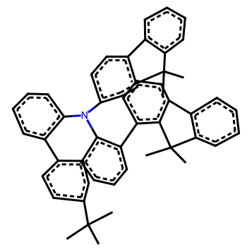 CC(C)(C)c1ccc(-c2ccccc2N(c2ccc3c(c2)C(C)(C)c2ccccc2-3)c2ccccc2-c2cccc3c2C(C)(C)c2ccccc2-3)cc1